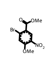 COC(=O)c1cc([N+](=O)[O-])c(OC)cc1Br